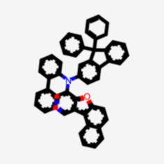 C1=CCCC(C2(c3ccccc3)c3ccccc3-c3ccc(N(c4ccccc4-c4ccccc4)c4cncc5c4oc4ccc6ccccc6c45)cc32)=C1